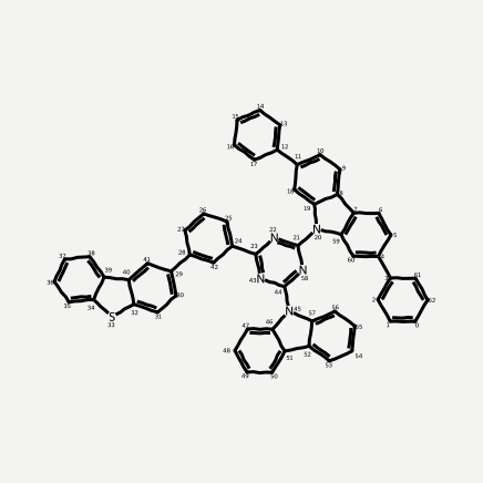 c1ccc(-c2ccc3c4ccc(-c5ccccc5)cc4n(-c4nc(-c5cccc(-c6ccc7sc8ccccc8c7c6)c5)nc(-n5c6ccccc6c6ccccc65)n4)c3c2)cc1